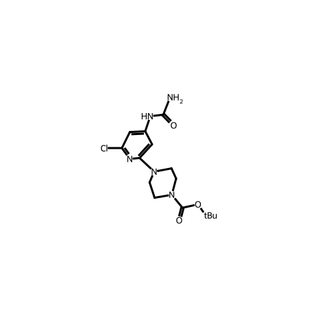 CC(C)(C)OC(=O)N1CCN(c2cc(NC(N)=O)cc(Cl)n2)CC1